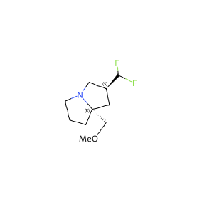 COC[C@]12CCCN1C[C@@H](C(F)F)C2